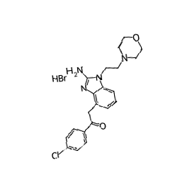 Br.Nc1nc2c(CC(=O)c3ccc(Cl)cc3)cccc2n1CCN1CCOCC1